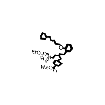 CCOC(=O)CN(C)CCC(C=Cc1ccccc1OCCCCCc1ccccc1)Cc1ccc(C(=O)OC)cc1